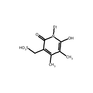 CCn1c(O)c(C)c(C)c(CS(=O)(=O)O)c1=O